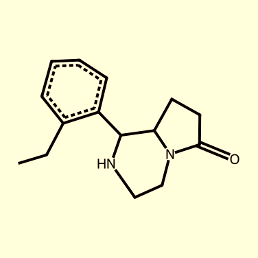 CCc1ccccc1C1NCCN2C(=O)CCC12